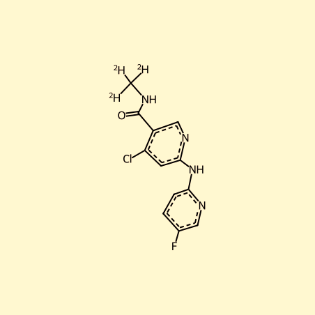 [2H]C([2H])([2H])NC(=O)c1cnc(Nc2ccc(F)cn2)cc1Cl